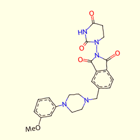 COc1cccc(N2CCN(Cc3ccc4c(c3)C(=O)N(N3CCC(=O)NC3=O)C4=O)CC2)c1